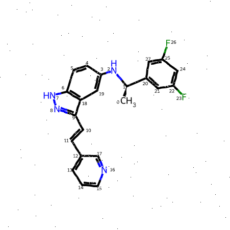 C[C@@H](Nc1ccc2[nH]nc(/C=C/c3cccnc3)c2c1)c1cc(F)cc(F)c1